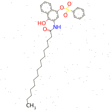 CCCCCCCCCCCCCCCC(=O)Nc1cc(OS(=O)(=O)c2ccccc2)c2ccccc2c1O